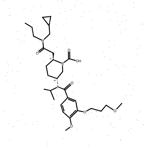 CCCN(CC1CC1)C(=O)C[C@@H]1CC[C@@H](N(C(=O)c2ccc(OC)c(OCCCOC)c2)C(C)C)CN1C(=O)O